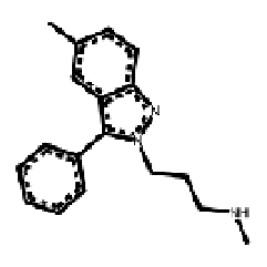 CNCCCn1nc2ccc(C)cc2c1-c1ccccc1